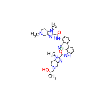 C[C@H](O)CN1CCc2c(nc(C(=O)Nc3cccc(-c4cccc(NC(=O)c5nc6c(n5C)CCN(C)C6)c4C#N)c3Cl)n2C)C1